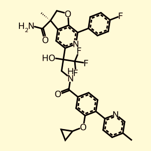 Cc1ccc(-c2ccc(C(=O)NCC(O)(c3cc4c(c(-c5ccc(F)cc5)n3)OC[C@]4(C)C(N)=O)C(F)(F)F)cc2OC2CC2)nc1